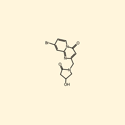 O=C1CC(O)CN1Cc1cc(=O)n2ccc(Br)cc2n1